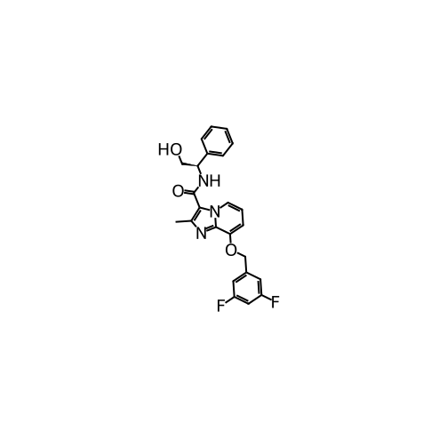 Cc1nc2c(OCc3cc(F)cc(F)c3)cccn2c1C(=O)N[C@@H](CO)c1ccccc1